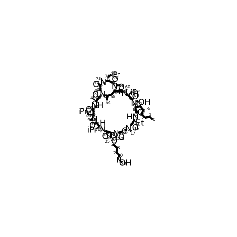 C/C=C/C[C@@H](C)[C@@H](O)[C@@H]1C(=O)N[C@@H](CC)C(=O)N(C)CC(=O)N(C)[C@@H]([C@@H](C)OCCC/C=N/O)C(=O)N[C@@H](C(C)C)C(=O)N(C)[C@@H](CC(C)C)C(=O)N[C@@H](C)C(=O)N2C(C)C[C@@H](C(=O)N(C)[C@@H](C(C)C)C(=O)N1C)N(C)C(=O)[C@H](CC(C)C)N(C)C(=O)[C@H]2C